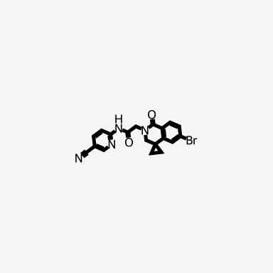 N#Cc1ccc(NC(=O)CN2CC3(CC3)c3cc(Br)ccc3C2=O)nc1